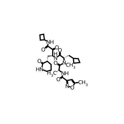 Cc1cc(C(=O)N[C@H](C)C(=O)N(C)[C@@H](CC2CCC2)C(=O)N[C@@H](C[C@@H]2CCCNC2=O)C(=O)C(=O)NC2CCC2)no1